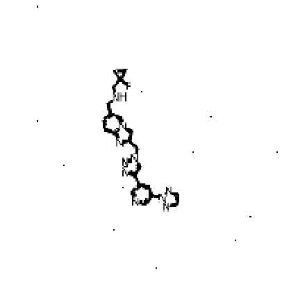 FC1(CNCc2ccc3nc(Cn4cc(-c5cncc(-n6nccn6)c5)nn4)cn3c2)CC1